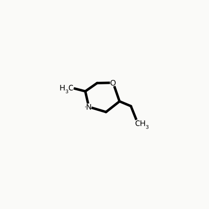 CCC1C[N]C(C)CO1